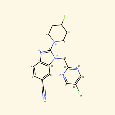 N#Cc1ccc2nc(N3CCC(F)CC3)n(Cc3ncc(Cl)cn3)c2c1